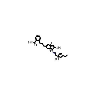 C=CC(O)(C/C=C/[C@H]1[C@H]2CC(CCCc3ccccc3C(=O)O)=C[C@H]2C[C@H]1O)CCCC